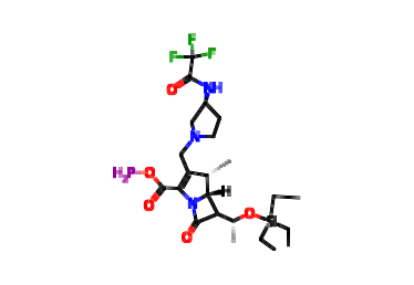 CC[Si](CC)(CC)O[C@H](C)C1C(=O)N2C(C(=O)OP)=C(CN3CC[C@H](NC(=O)C(F)(F)F)C3)[C@H](C)[C@H]12